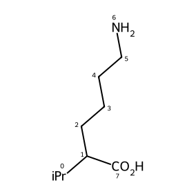 CC(C)C(CCCCN)C(=O)O